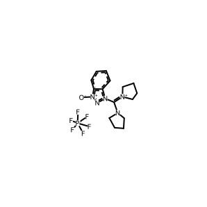 F[P-](F)(F)(F)(F)F.[O-][n+]1nn(C(N2CCCC2)=[N+]2CCCC2)c2ccccc21